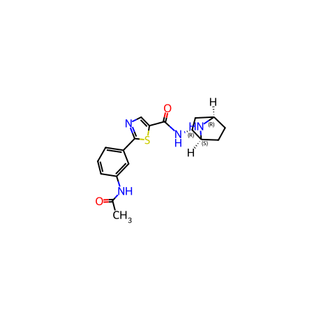 CC(=O)Nc1cccc(-c2ncc(C(=O)N[C@@H]3C[C@H]4CC[C@@H]3N4)s2)c1